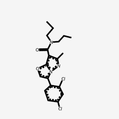 CCCN(CCC)C(=O)c1c(C)nn2c(-c3ccc(Cl)cc3Cl)coc12